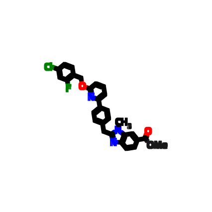 COC(=O)c1ccc2nc(Cc3ccc(-c4cccc(OCc5ccc(Cl)cc5F)n4)cc3)n(C)c2c1